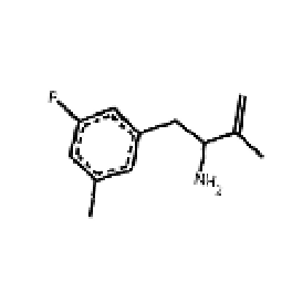 C=C(C)C(N)Cc1cc(C)cc(F)c1